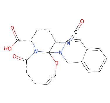 O=C=NC1CC[C@@H](C(=O)O)N2C(=O)CC/C=C\OC12N1C=Cc2ccccc2C1